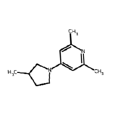 Cc1cc(N2CCC(C)C2)cc(C)n1